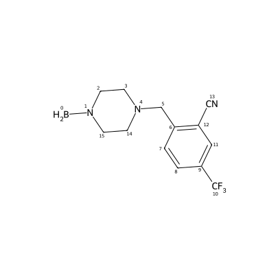 BN1CCN(Cc2ccc(C(F)(F)F)cc2C#N)CC1